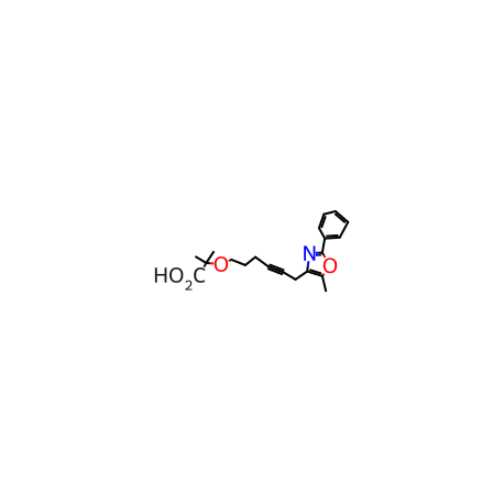 Cc1oc(-c2ccccc2)nc1CC#CCCCOC(C)(C)C(=O)O